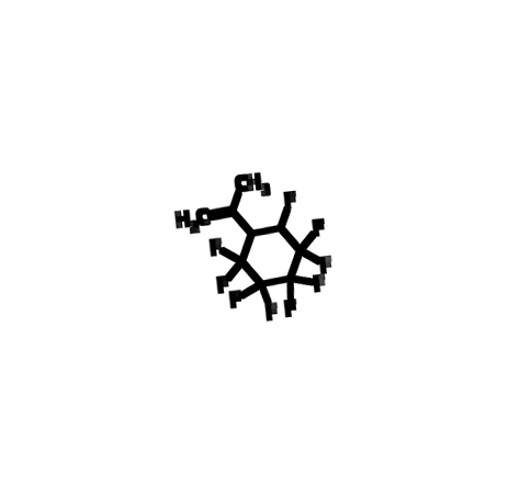 C=C(C)C1C(F)C(F)(F)C(F)(F)C(F)(F)C1(F)F